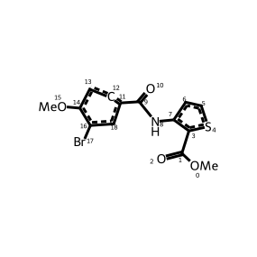 COC(=O)c1sccc1NC(=O)c1ccc(OC)c(Br)c1